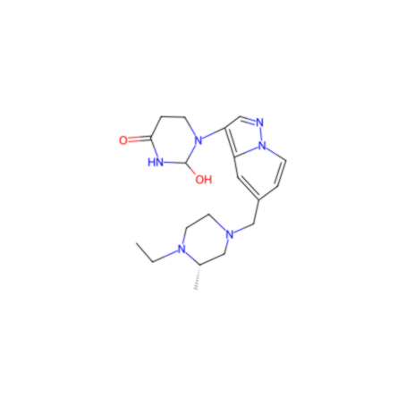 CCN1CCN(Cc2ccn3ncc(N4CCC(=O)NC4O)c3c2)C[C@@H]1C